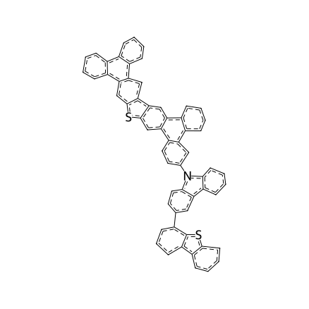 c1ccc2c(c1)sc1c(-c3ccc4c(c3)c3ccccc3n4-c3ccc4c(c3)c3ccccc3c3cc5c(cc43)sc3cc4c6ccccc6c6ccccc6c4cc35)cccc12